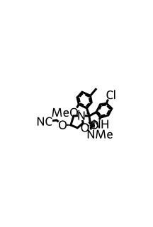 CNC(=O)[C@@H]1C[C@@H](OCC#N)C[N+]1(C)C1(c2cc(C)ccc2OC)C(=O)Nc2ccc(Cl)cc21